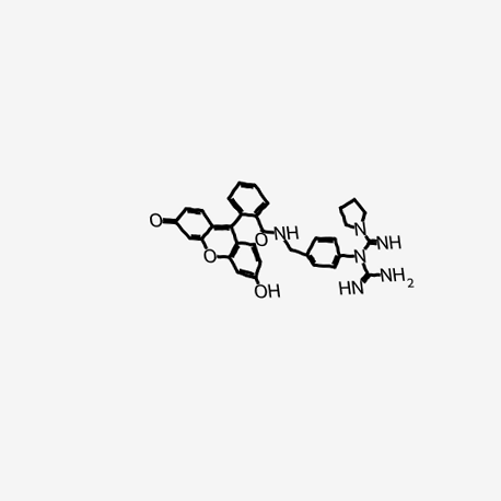 N=C(N)N(C(=N)N1CCCC1)c1ccc(CNC(=O)c2ccccc2-c2c3ccc(=O)cc-3oc3cc(O)ccc23)cc1